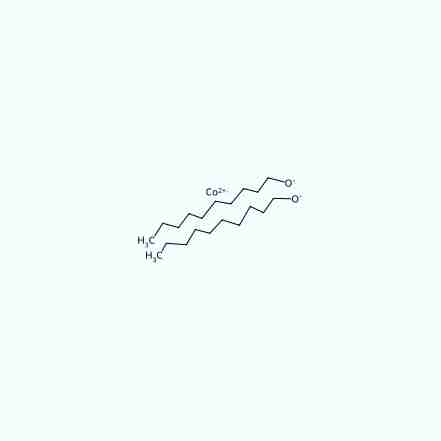 CCCCCCCCCC[O-].CCCCCCCCCC[O-].[Co+2]